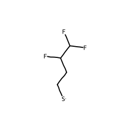 FC(F)C(F)CC[S]